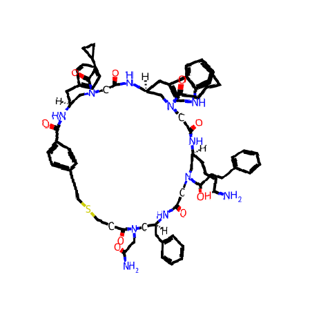 NCCCC[C@H]1CN(C(O)CCc2ccccc2)CC(=O)N[C@@H](Cc2ccccc2)CN(CC(N)=O)C(=O)CCSCc2ccc(cc2)C(=O)N[C@@H](Cc2ccccc2)CN(C(=O)CC2CC2)CC(=O)N[C@@H](Cc2c[nH]c3ccccc23)CN(C(=O)CC2CC2)CC(=O)N1